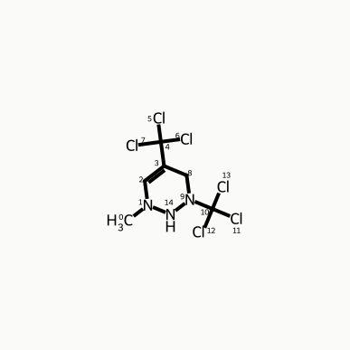 CN1C=C(C(Cl)(Cl)Cl)CN(C(Cl)(Cl)Cl)N1